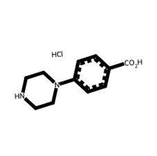 Cl.O=C(O)c1ccc(N2CCNCC2)cc1